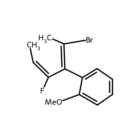 C/C=C(F)\C(=C(/C)Br)c1ccccc1OC